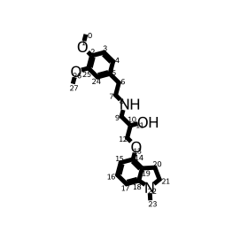 COc1ccc(CCNCC(O)COc2cccc3c2CCN3C)cc1OC